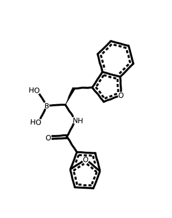 O=C(N[C@H](Cc1coc2ccccc12)B(O)O)c1cc2ccc1o2